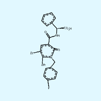 CCCc1c(CC)cc(C(=O)N[C@H](C(=O)O)c2ccccc2)c(=O)n1Cc1ccc(F)cc1